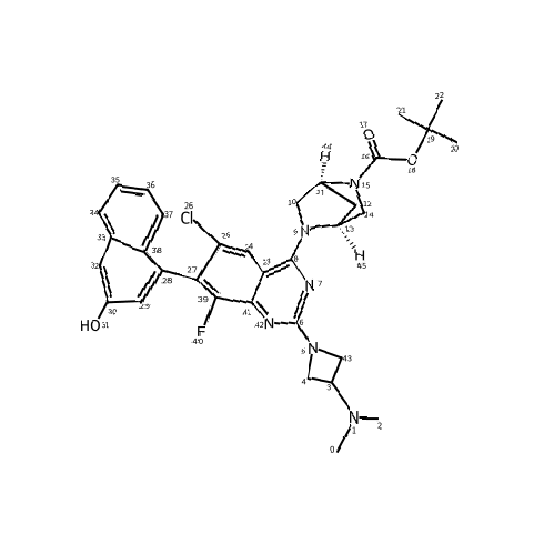 CN(C)C1CN(c2nc(N3C[C@@H]4C[C@H]3CN4C(=O)OC(C)(C)C)c3cc(Cl)c(-c4cc(O)cc5ccccc45)c(F)c3n2)C1